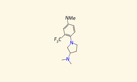 CNc1ccc(N2CCC(N(C)C)C2)c(C(F)(F)F)c1